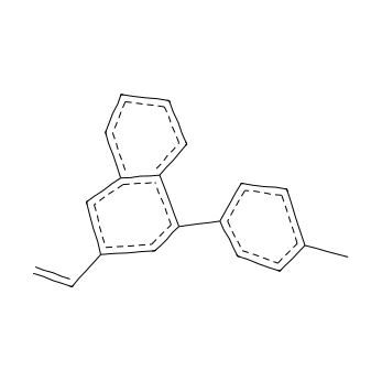 C=Cc1cc(-c2ccc(C)cc2)c2ccccc2c1